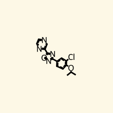 CC(C)Oc1ccc(-c2noc(-c3cnccn3)n2)cc1Cl